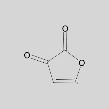 O=C1C=[C]OC1=O